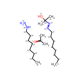 CC(C)=O.CCCCCCCC/N=N/C(C)(C)O.CCCCCCCCNN